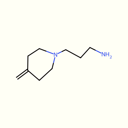 C=C1CCN(CCCN)CC1